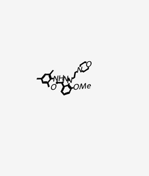 COc1cccc2c(C(=O)Nc3c(C)cc(C)cc3C)nn(CCN3CCOCC3)c12